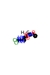 C[C@@H]1CN(C(=O)c2ccccc2)CCN1C(=O)C(=O)c1c[nH]c2c(-c3cnc(Cl)c(Cl)n3)nccc12